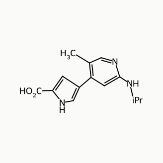 Cc1cnc(NC(C)C)cc1-c1c[nH]c(C(=O)O)c1